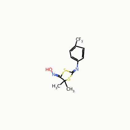 CC1(C)SC(=Nc2ccc(C(F)(F)F)cc2)SC1=NO